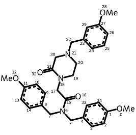 COc1ccc(CN(Cc2ccc(OC)cc2)C(=O)CN2CCN(Cc3cccc(OC)c3)CC2=O)cc1